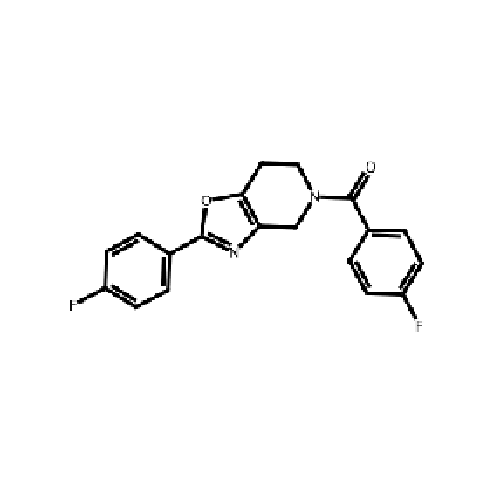 O=C(c1ccc(F)cc1)N1CCc2oc(-c3ccc(F)cc3)nc2C1